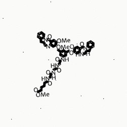 COC(=O)CCCCC(=O)NCC(=O)NCC(=O)NCC(=O)Nc1cc(COc2cc3c(cc2OC)C(=O)N2c4ccccc4CC2C=N3)cc(COc2cc3c(cc2OC)C(=O)N2c4ccccc4C[C@H]2CN3)c1